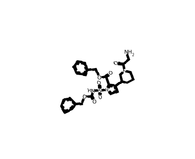 NCC(=O)N1CCCC(c2ccn(S(=O)(=O)NC(=O)OCc3ccccc3)c2C(=O)OCc2ccccc2)C1